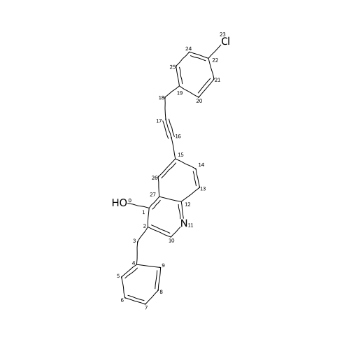 Oc1c(Cc2ccccc2)cnc2ccc(C#CCc3ccc(Cl)cc3)cc12